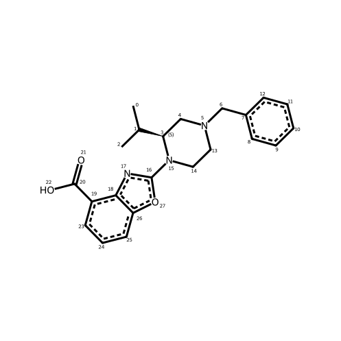 CC(C)[C@H]1CN(Cc2ccccc2)CCN1c1nc2c(C(=O)O)cccc2o1